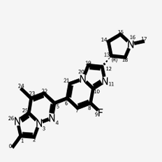 Cc1cn2nc(-c3cc(F)c4nc([C@@H]5CCN(C)C5)cn4c3)cc(C)c2n1